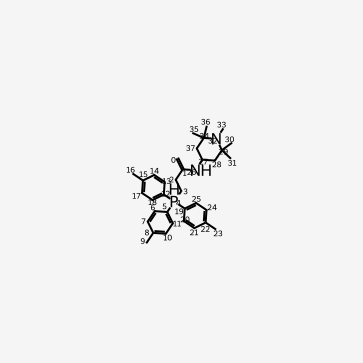 C=C(CC[PH](c1ccc(C)cc1)(c1ccc(C)cc1)c1ccc(C)cc1)NC1CC(C)(C)N(C)C(C)(C)C1